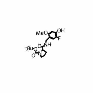 COc1cc(O)c(F)cc1CNC(=O)C1CCCN1C(=O)OC(C)(C)C